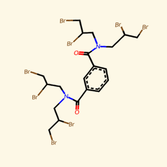 O=C(c1cccc(C(=O)N(CC(Br)CBr)CC(Br)CBr)c1)N(CC(Br)CBr)CC(Br)CBr